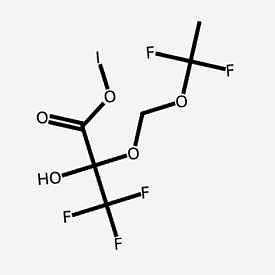 CC(F)(F)OCOC(O)(C(=O)OI)C(F)(F)F